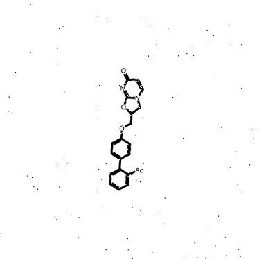 CC(=O)c1ccccc1-c1ccc(OCC2Cn3ccc(=O)nc3O2)cc1